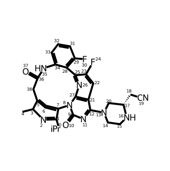 CC(C)C1=NC(C)C2=C=C1n1c(=O)nc(N3CCN[C@@H](CC#N)C3)c3cc(F)c(nc31)-c1c(F)cccc1NC(=O)C2